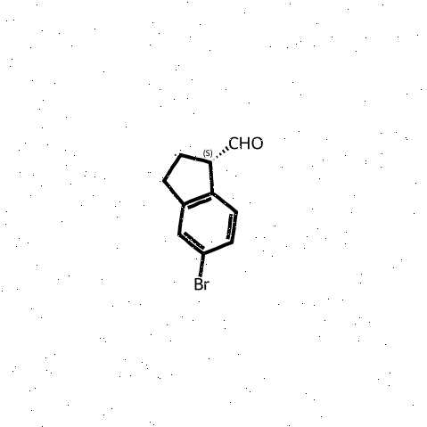 O=C[C@H]1[CH]Cc2cc(Br)ccc21